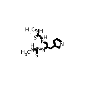 CNC(=S)N/N=C(\C=N\NC(=S)NC)Cc1cccnc1